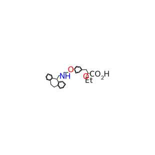 CCOC(Cc1ccc(OCCNCC2c3ccccc3CCc3ccccc32)cc1)C(=O)O